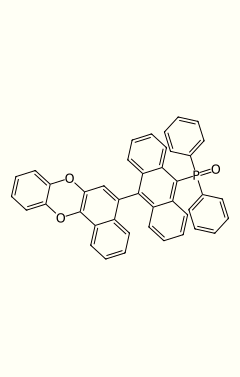 O=P(c1ccccc1)(c1ccccc1)c1c2ccccc2c(-c2cc3c(c4ccccc24)Oc2ccccc2O3)c2ccccc12